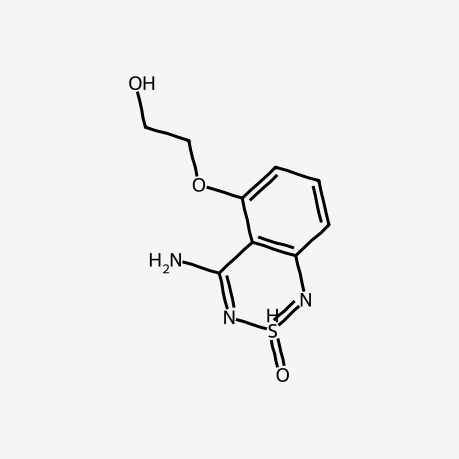 NC1=N[SH](=O)=Nc2cccc(OCCO)c21